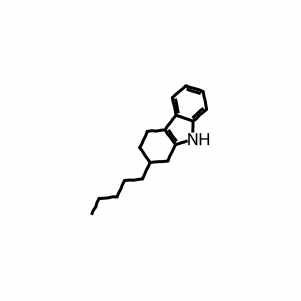 CCCCCC1CCc2c([nH]c3ccccc23)C1